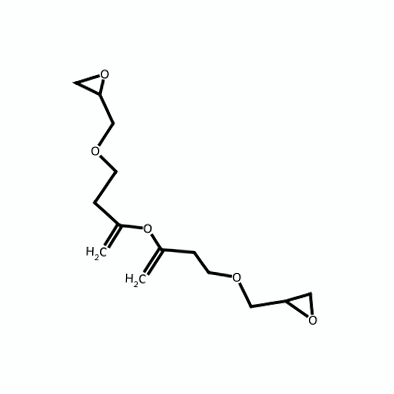 C=C(CCOCC1CO1)OC(=C)CCOCC1CO1